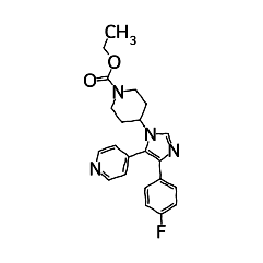 CCOC(=O)N1CCC(n2cnc(-c3ccc(F)cc3)c2-c2ccncc2)CC1